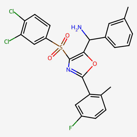 Cc1cccc(C(N)c2oc(-c3cc(F)ccc3C)nc2S(=O)(=O)c2ccc(Cl)c(Cl)c2)c1